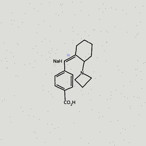 O=C(O)c1ccc(/C=C2/CCCCC2N2CCC2)cc1.[NaH]